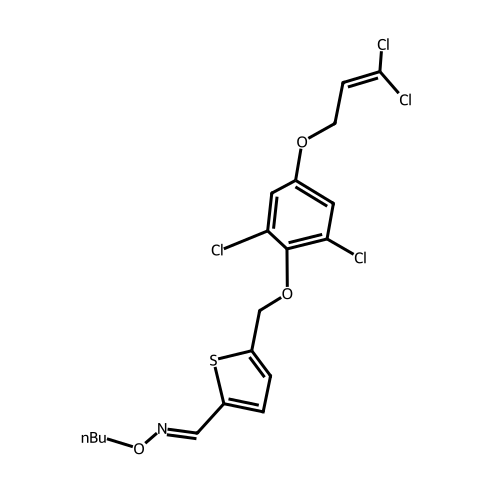 CCCCON=Cc1ccc(COc2c(Cl)cc(OCC=C(Cl)Cl)cc2Cl)s1